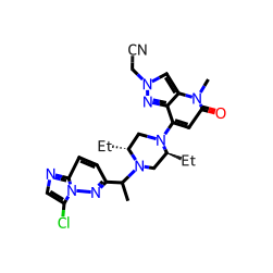 CC[C@H]1CN(C(C)c2ccc3ncc(Cl)n3n2)[C@H](CC)CN1c1cc(=O)n(C)c2cn(CC#N)nc12